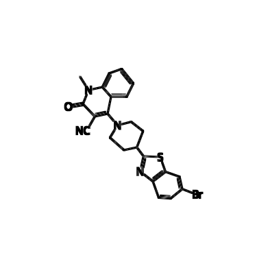 Cn1c(=O)c(C#N)c(N2CCC(c3nc4ccc(Br)cc4s3)CC2)c2ccccc21